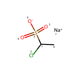 CC(Cl)S(=O)(=O)[O-].[Na+]